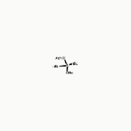 CCCC[Si](CCCC)(CCCC)NC(C)=O